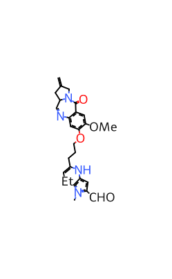 C=C1CC2C=Nc3cc(OCCC/C(=C/CC)Nc4cc(C=O)n(C)c4)c(OC)cc3C(=O)N2C1